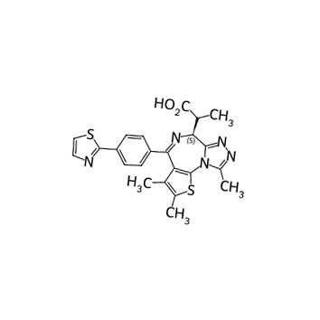 Cc1sc2c(c1C)C(c1ccc(-c3nccs3)cc1)=N[C@@H](C(C)C(=O)O)c1nnc(C)n1-2